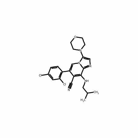 CC(C)CNc1c(C#N)c(-c2ccc(Cl)cc2Cl)cn2c(N3CCOCC3)cnc12